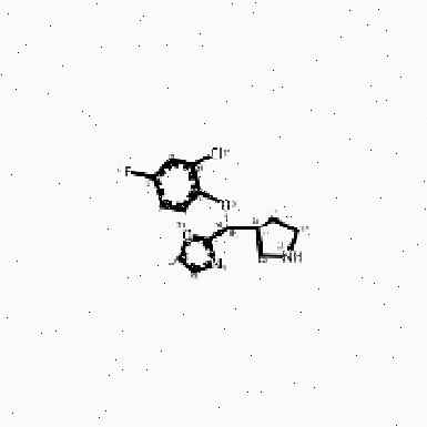 Fc1ccc(O[C@@H](c2ncco2)[C@H]2CCNC2)c(Cl)c1